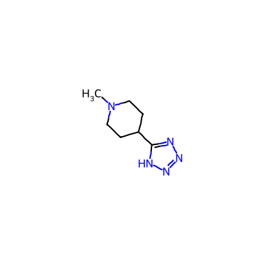 CN1CCC(c2nnn[nH]2)CC1